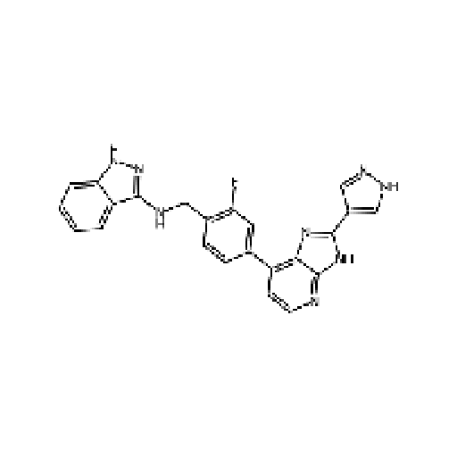 Fc1cc(-c2ccnc3[nH]c(-c4cn[nH]c4)nc23)ccc1CNc1n[nH]c2ccccc12